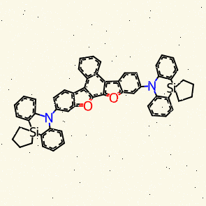 c1ccc2c(c1)N(c1ccc3c(c1)oc1c4oc5cc(N6c7ccccc7[Si]7(CCCC7)c7ccccc76)ccc5c4c4ccccc4c31)c1ccccc1[Si]21CCCC1